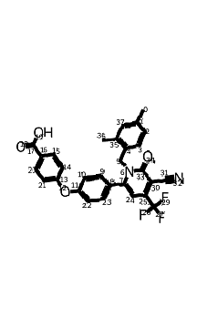 Cc1ccc(Cn2c(-c3ccc(Oc4ccc(C(=O)O)cc4)cc3)cc(C(F)(F)F)c(C#N)c2=O)c(C)c1